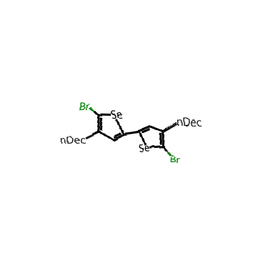 CCCCCCCCCCc1cc(-c2cc(CCCCCCCCCC)c(Br)[se]2)[se]c1Br